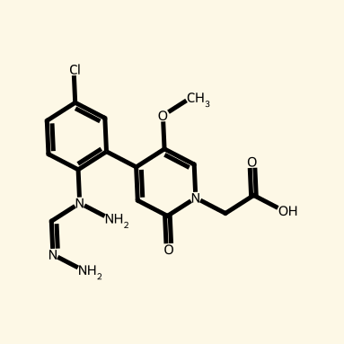 COc1cn(CC(=O)O)c(=O)cc1-c1cc(Cl)ccc1N(N)/C=N\N